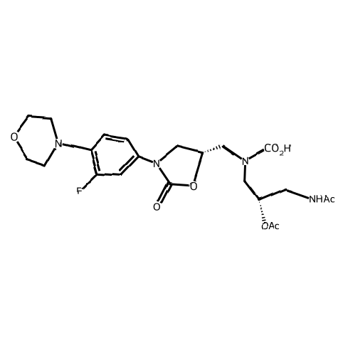 CC(=O)NC[C@@H](CN(C[C@H]1CN(c2ccc(N3CCOCC3)c(F)c2)C(=O)O1)C(=O)O)OC(C)=O